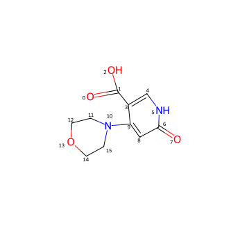 O=C(O)c1c[nH]c(=O)cc1N1CCOCC1